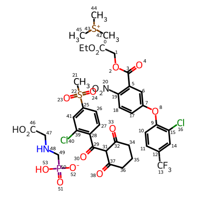 CCOC(=O)COC(=O)c1cc(Oc2ccc(C(F)(F)F)cc2Cl)ccc1[N+](=O)[O-].CS(=O)(=O)c1ccc(C(=O)C2C(=O)CCCC2=O)c(Cl)c1.C[S+](C)C.O=C(O)CNCP(=O)([O-])O